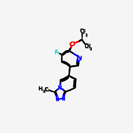 Cc1nnc2ccc(-c3cnc(O[C@H](C)C(F)(F)F)c(F)c3)cn12